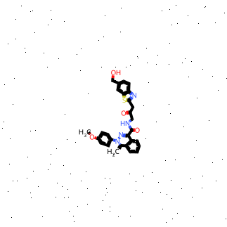 C=C1c2ccccc2C(C(=O)NCC(=O)Cc2nc3ccc(CO)cc3s2)=NN1c1ccc(OC)cc1